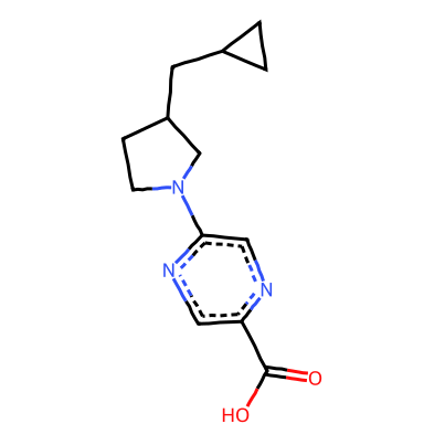 O=C(O)c1cnc(N2CCC(CC3CC3)C2)cn1